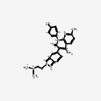 Cc1ccc2c(N)c(-c3ccc4nn(CCN(C)C)cc4c3)c(=O)n(-c3ccc(Cl)cc3)c2n1